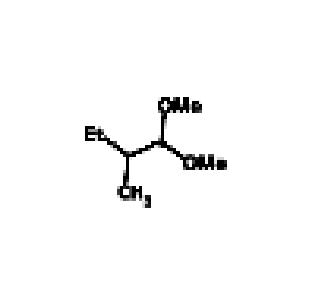 CCC(C)[C](OC)OC